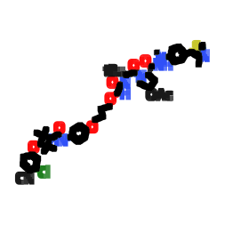 CC(=O)O[C@@H]1C[C@@H](C(=O)NN(C)c2ccc(-c3scnc3C)cc2)N(C(=O)[C@@H](NC(=O)COCCCCOc2ccc(NC(=O)C3C(C)(C)C(Oc4ccc(C#N)c(Cl)c4)C3(C)C)cc2)C(C)(C)C)C1